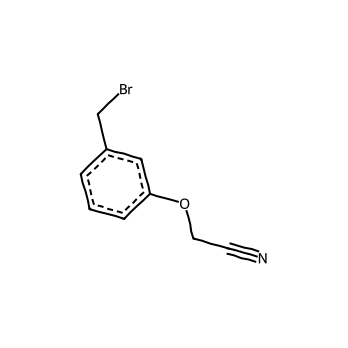 N#CCOc1cccc(CBr)c1